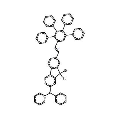 CCC1(CC)c2cc(/C=C/c3cc(-c4ccccc4)c(-c4ccccc4)c(-c4ccccc4)c3-c3ccccc3)ccc2-c2ccc(N(c3ccccc3)c3ccccc3)cc21